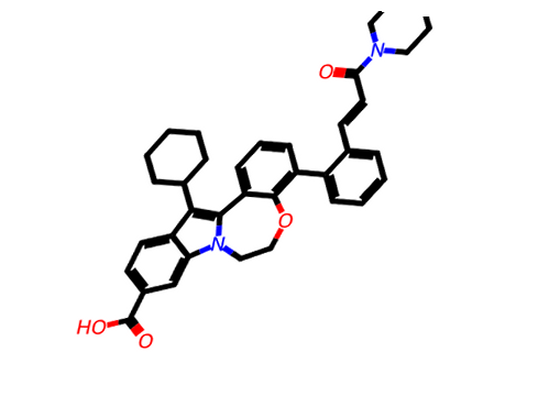 O=C(O)c1ccc2c(C3CCCCC3)c3n(c2c1)CCOc1c(-c2ccccc2/C=C/C(=O)N2CCCCC2)cccc1-3